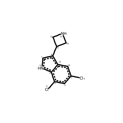 Clc1cc(Cl)c2[nH]cc(C3CNC3)c2c1